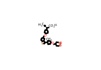 CC#C[C@@H](CC(=O)O)c1ccc(OCc2ccc3scc(-c4ccc(OCC5CCS(=O)(=O)CC5)cc4C)c3c2)cc1